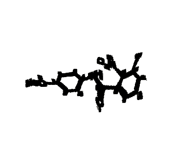 COc1ccc(NC(=O)c2cccc(C)c2[N+](=O)[O-])cc1